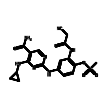 CS(=O)(=O)Oc1ccc(Nc2ncc(C(N)=O)c(NC3CC3)n2)cc1NC(=O)CC#N